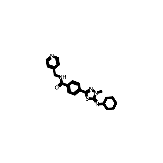 Cn1nc(-c2ccc(C(=O)NCc3ccncc3)cc2)s/c1=N/C1CCCCC1